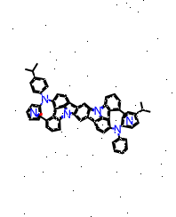 CC(C)c1ccc(N(c2ccccc2)c2ccc3c4cc5c(cc4n4c6cccc(C#N)c6c2c34)c2ccc(N(c3ccccc3)c3ccc(C(C)C)cc3)c3c4c(C#N)cccc4n5c23)cc1